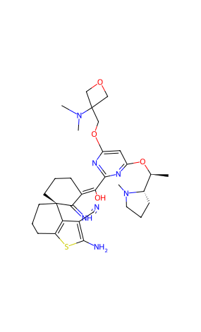 C[C@H](Oc1cc(OCC2(N(C)C)COC2)nc(/C(O)=C2\CCC[C@@]3(CCCc4sc(N)c(C#N)c43)C2=N)n1)[C@@H]1CCCN1C